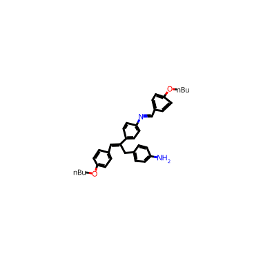 CCCCOc1ccc(C=Nc2ccc(C(=Cc3ccc(OCCCC)cc3)Cc3ccc(N)cc3)cc2)cc1